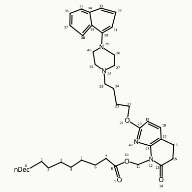 CCCCCCCCCCCCCCCCCC(=O)OCN1C(=O)CCc2ccc(OCCCCN3CCN(c4cccc5ccccc45)CC3)nc21